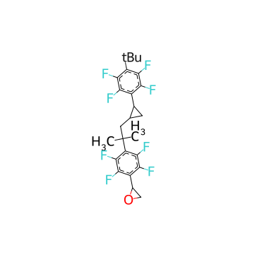 CC(C)(C)c1c(F)c(F)c(C2CC2CC(C)(C)c2c(F)c(F)c(C3CO3)c(F)c2F)c(F)c1F